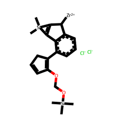 C[Si](C)(C)OCOC1=C(c2cccc3c2C2=C([CH]3[Zr+2])[Si]2(C)C)CC=C1.[Cl-].[Cl-]